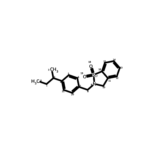 CCC(C)c1ccc(CN2Cc3ccccc3S2(=O)=O)cc1